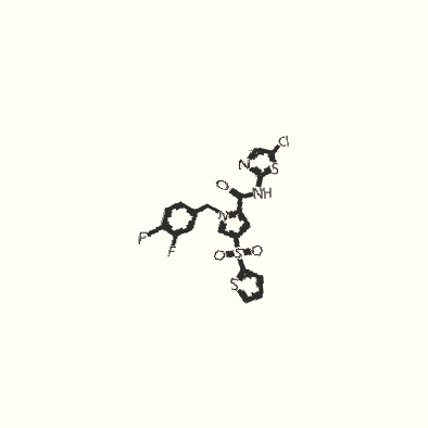 O=C(Nc1n[c]c(Cl)s1)c1cc(S(=O)(=O)c2cccs2)cn1Cc1ccc(F)c(F)c1